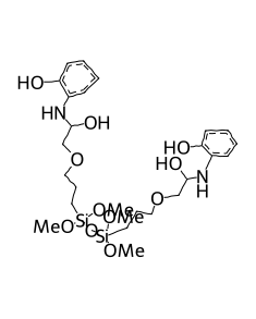 CO[Si](CCCOCC(O)Nc1ccccc1O)(OC)O[Si](CCCOCC(O)Nc1ccccc1O)(OC)OC